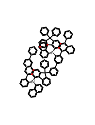 c1ccc(-c2ccc3cc(-c4ccccc4N(c4cccc5c4-c4ccccc4C5(c4ccccc4)c4cccc(-c5ccc(-c6ccc(-c7ccccc7)c7ccccc67)c(N(c6cccc7c6-c6ccccc6C7(c6ccccc6)c6ccccc6)c6cccc7ccccc67)c5)c4)c4cccc5ccccc45)ccc3c2)cc1